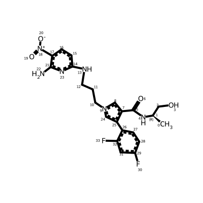 C[C@H](CO)NC(=O)c1cn(CCCNc2ccc([N+](=O)[O-])c(N)n2)cc1-c1ccc(F)cc1F